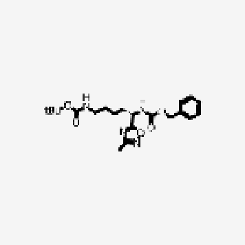 Cc1noc([C@H](CCCCNC(=O)OC(C)(C)C)NC(=O)OCc2ccccc2)n1